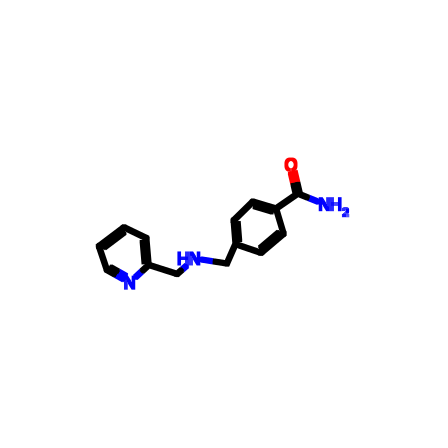 NC(=O)c1ccc(CNCc2ccccn2)cc1